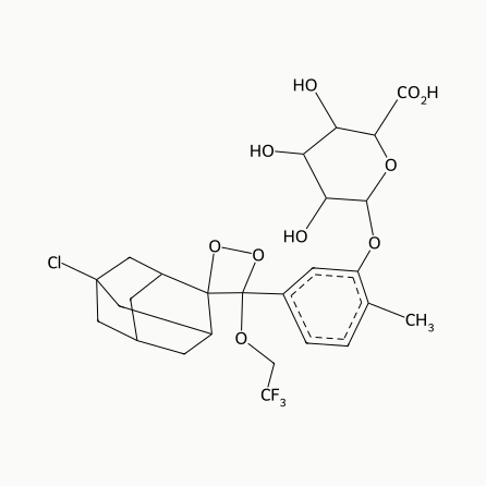 Cc1ccc(C2(OCC(F)(F)F)OOC23C2CC4CC3CC(Cl)(C4)C2)cc1OC1OC(C(=O)O)C(O)C(O)C1O